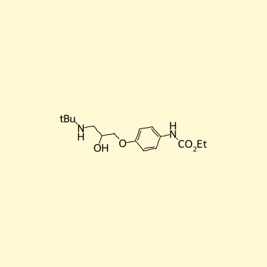 CCOC(=O)Nc1ccc(OCC(O)CNC(C)(C)C)cc1